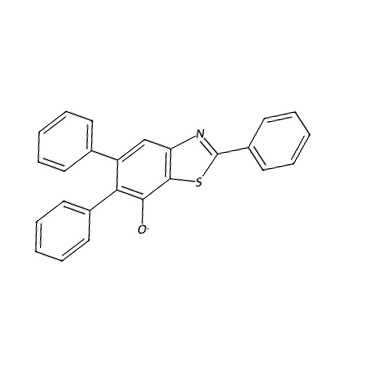 [O]c1c(-c2ccccc2)c(-c2ccccc2)cc2nc(-c3ccccc3)sc12